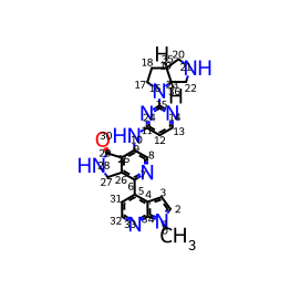 Cn1ccc2c(-c3ncc(Nc4ccnc(N5CC[C@@H]6CNC[C@@H]65)n4)c4c3CNC4=O)ccnc21